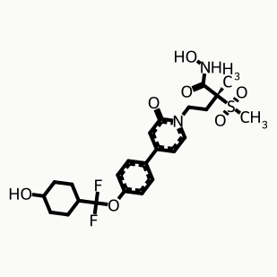 C[C@@](CCn1ccc(-c2ccc(OC(F)(F)C3CCC(O)CC3)cc2)cc1=O)(C(=O)NO)S(C)(=O)=O